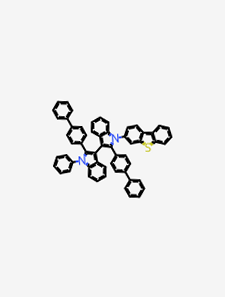 c1ccc(-c2ccc(-c3c(-c4c(-c5ccc(-c6ccccc6)cc5)n(-c5ccc6c(c5)sc5ccccc56)c5ccccc45)c4ccccc4n3-c3ccccc3)cc2)cc1